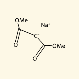 COC(=O)[CH-]C(=O)OC.[Na+]